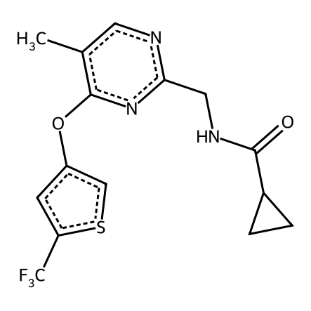 Cc1cnc(CNC(=O)C2CC2)nc1Oc1csc(C(F)(F)F)c1